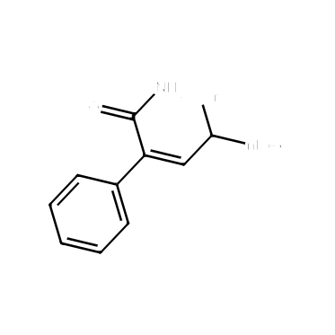 CCCCCCC(C=C(C(N)=O)c1ccccc1)CCC